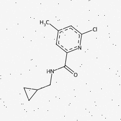 Cc1cc(Cl)nc(C(=O)NCC2CC2)c1